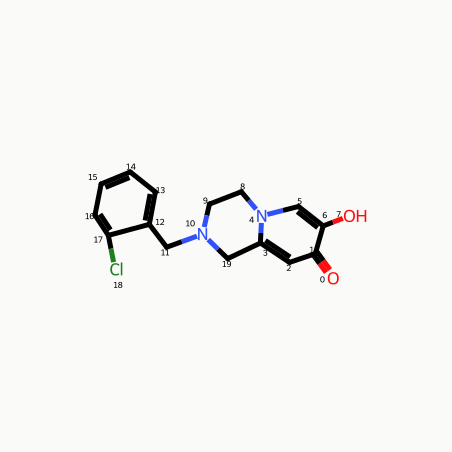 O=c1cc2n(cc1O)CCN(Cc1ccccc1Cl)C2